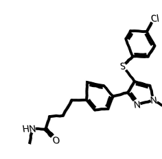 CCn1cc(Sc2ccc(Cl)cc2)c(-c2ccc(CCCC(=O)NC)cc2)n1